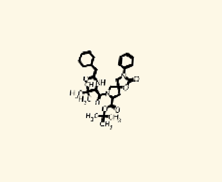 CC(C)(C)OC(=O)C1CC2(CN(c3ccccc3)C(=O)O2)CN1C(=O)C(NC(=O)CC1CCCCC1)C(C)(C)C